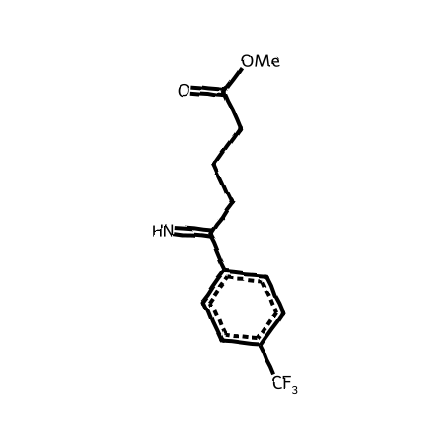 COC(=O)CCCC(=N)c1ccc(C(F)(F)F)cc1